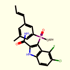 C/C=C/c1cc(C)cc(P(=O)(OC)c2c(C(N)=O)[nH]c3ccc(Cl)c(F)c23)c1